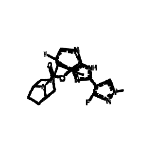 Cn1cc(-c2nc3c(N4CC5CCC(C4)N5C(=O)OC(C)(C)C)c(F)cnc3[nH]2)c(F)n1